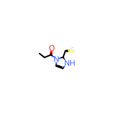 CCC(=O)N1C=CNC1C=S